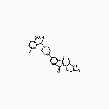 Cc1ccc(S(=O)(=O)O)c(C(C)N2CCN(c3ccc4c(c3)C(=O)N(C3CCC(=O)NC3=O)C4=O)CC2)c1